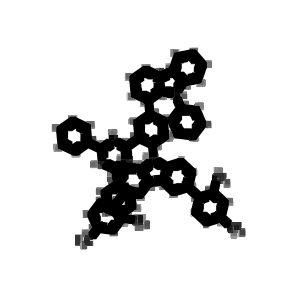 FC(F)(F)c1ccc(-c2ccc3c(c2)c2cc(-c4ccc(C(F)(F)F)cc4C(F)(F)F)ccc2n3-c2ccc(-c3cccc4c5ccccc5n(-c5ccccc5)c34)cc2-c2nc(-c3ccccc3)nc(-c3ccccc3)n2)c(C(F)(F)F)c1